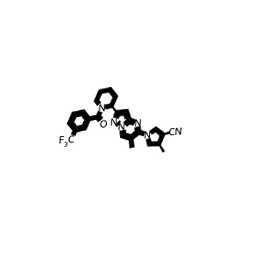 Cc1cn2nc([C@@H]3CCCCN3C(=O)c3cccc(C(F)(F)F)c3)cc2nc1N1C[C@@H](C#N)[C@@H](C)C1